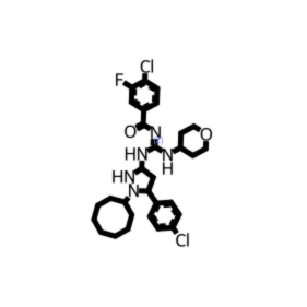 O=C(/N=C(/NC1CCOCC1)NC1CC(c2ccc(Cl)cc2)N(C2CCCCCCC2)N1)c1ccc(Cl)c(F)c1